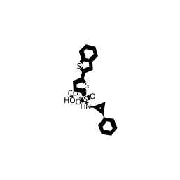 O=C(O)O.O=S(=O)(N[C@H]1C[C@@H]1c1ccccc1)c1ccc(-c2cc3ccccc3s2)s1